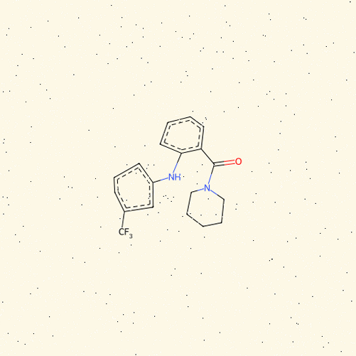 O=C(c1ccccc1Nc1cccc(C(F)(F)F)c1)N1CCCCC1